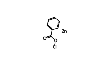 O=C(OCl)c1ccccc1.[Zn]